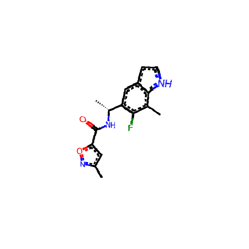 Cc1cc(C(=O)N[C@H](C)c2cc3cc[nH]c3c(C)c2F)on1